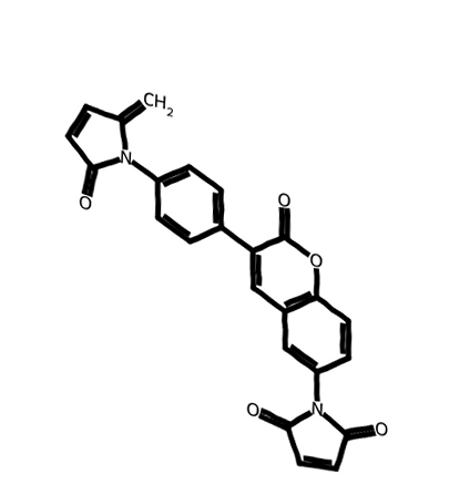 C=C1C=CC(=O)N1c1ccc(-c2cc3cc(N4C(=O)C=CC4=O)ccc3oc2=O)cc1